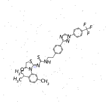 Cc1ccc(C(C)C)c(N2C(=O)CS/C2=N\C(=S)NCCc2ccc(-c3ncn(-c4ccc(C(F)(F)F)cc4)n3)cc2)c1